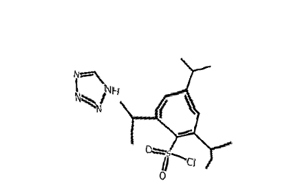 CC(C)c1cc(C(C)C)c(S(=O)(=O)Cl)c(C(C)C)c1.c1nnn[nH]1